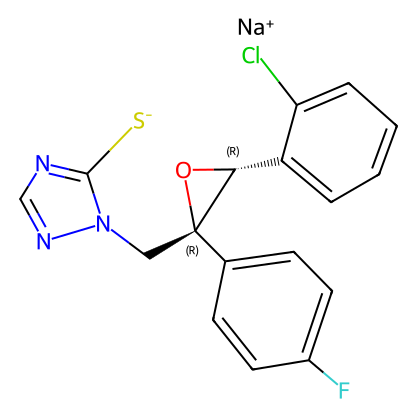 Fc1ccc([C@]2(Cn3ncnc3[S-])O[C@@H]2c2ccccc2Cl)cc1.[Na+]